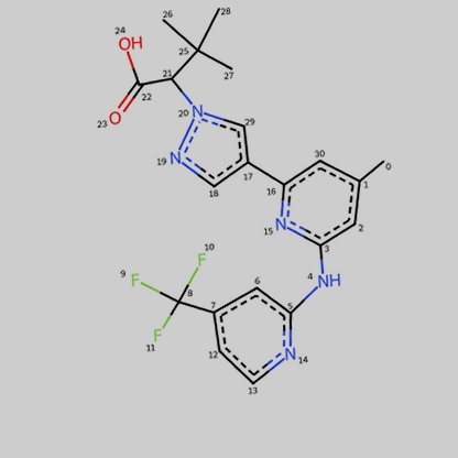 Cc1cc(Nc2cc(C(F)(F)F)ccn2)nc(-c2cnn(C(C(=O)O)C(C)(C)C)c2)c1